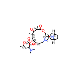 CO[C@]1(C)C[C@@H](C)CN(C)[C@H](C2C[C@H]3CC[C@@H](C2)N3C(C)C)COC(=O)C(C)(C)C(=O)[C@H](C)[C@H]1O[C@@H]1O[C@H](C)C[C@H](N(C)C)[C@H]1O